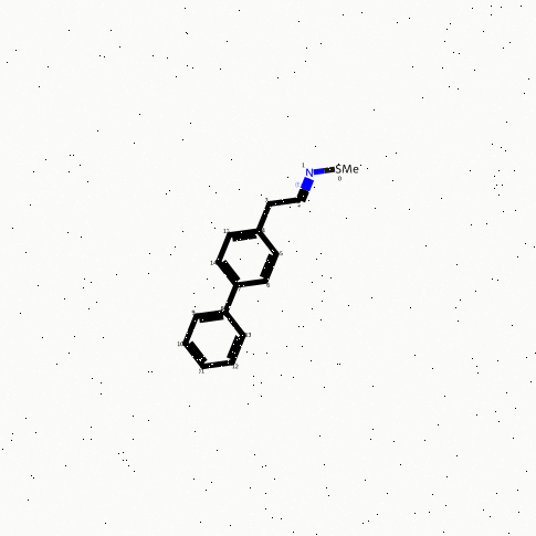 CS/N=C/Cc1ccc(-c2ccccc2)cc1